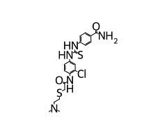 CN(C)CCSCC(=O)Nc1ccc(NC(=S)Nc2ccc(C(N)=O)cc2)cc1Cl